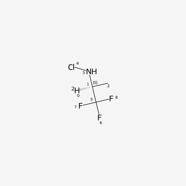 [2H][C@@](C)(NCl)C(F)(F)F